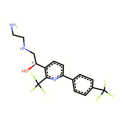 NCCNC[C@H](O)c1ccc(-c2ccc(C(F)(F)F)cc2)nc1C(F)(F)F